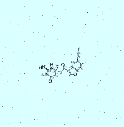 CC#Cc1cnc2occ(C(=O)C[C@]3(C)CC(=O)N(C)C(=N)N3)c2c1